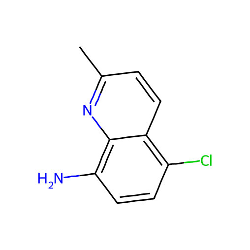 Cc1ccc2c(Cl)ccc(N)c2n1